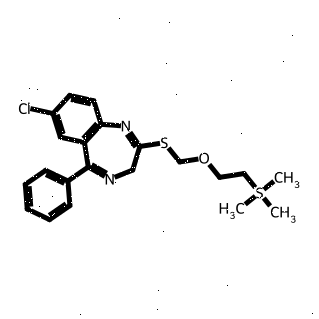 CS(C)(C)CCOCSC1=Nc2ccc(Cl)cc2C(c2ccccc2)=NC1